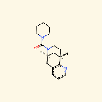 O=C(N1CCCCC1)N1CC[C@H]2C[C@H]1Cc1cccnc12